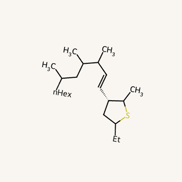 CCCCCCC(C)CC(C)C(C)C=C[C@H]1CC(CC)SC1C